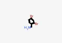 NCc1c[c]c(Br)cc1Br